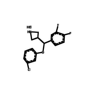 Cl.Fc1ccc(C(Oc2cccc(Cl)c2)C2CNC2)cc1F